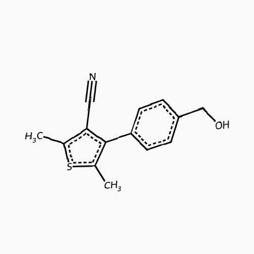 Cc1sc(C)c(-c2ccc(CO)cc2)c1C#N